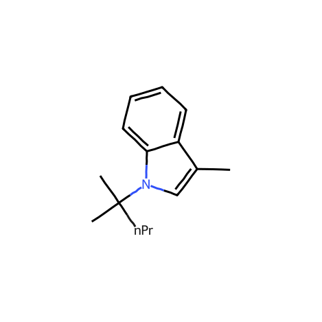 CCCC(C)(C)n1cc(C)c2ccccc21